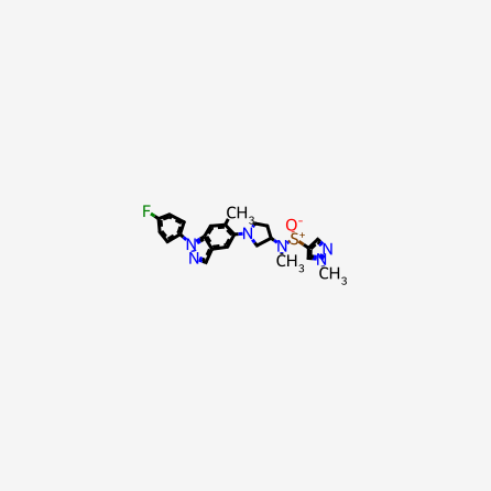 Cc1cc2c(cnn2-c2ccc(F)cc2)cc1N1CCC(N(C)[S+]([O-])c2cnn(C)c2)C1